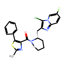 Cc1nc(C(=O)N2CCCC[C@H]2Cc2nc3ccc(F)cn3c2Cl)c(-c2ccccc2)s1